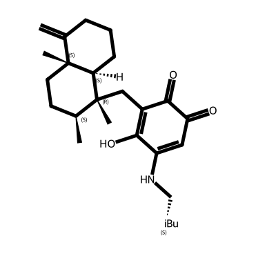 C=C1CCC[C@H]2[C@](C)(CC3=C(O)C(NC[C@@H](C)CC)=CC(=O)C3=O)[C@@H](C)CC[C@]12C